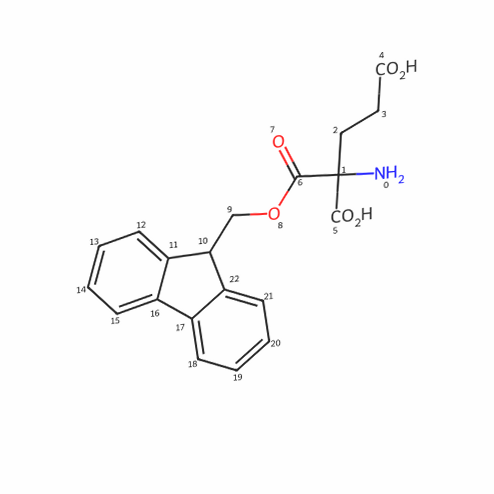 NC(CCC(=O)O)(C(=O)O)C(=O)OCC1c2ccccc2-c2ccccc21